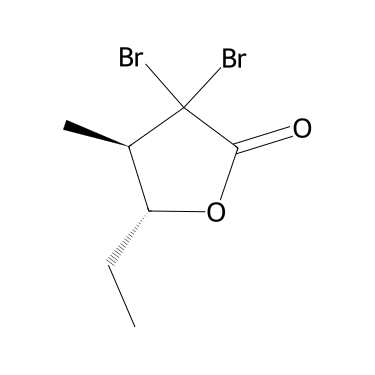 CC[C@H]1OC(=O)C(Br)(Br)[C@@H]1C